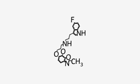 Cc1nc2ccc3c(c2o1)OC(CNCCCc1c[nH]c2ccc(F)cc12)CO3